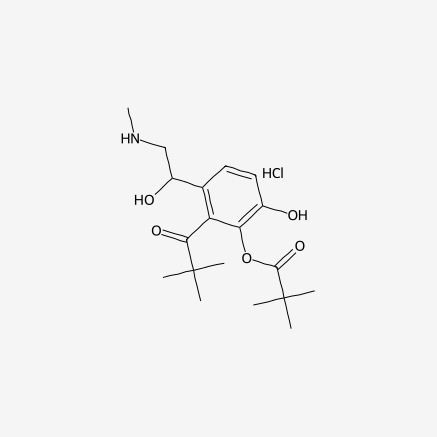 CNCC(O)c1ccc(O)c(OC(=O)C(C)(C)C)c1C(=O)C(C)(C)C.Cl